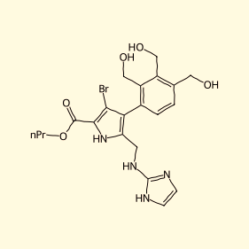 CCCOC(=O)c1[nH]c(CNc2ncc[nH]2)c(-c2ccc(CO)c(CO)c2CO)c1Br